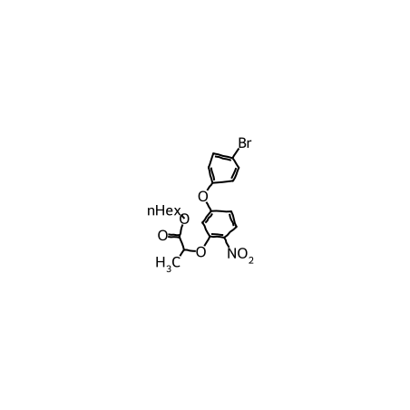 CCCCCCOC(=O)C(C)Oc1cc(Oc2ccc(Br)cc2)ccc1[N+](=O)[O-]